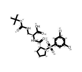 CC(C)(C)OC(=O)NC[C@H](NC(=O)[C@H]1CCCN1S(=O)(=O)c1cc(Cl)cc(Cl)c1)C(=O)O